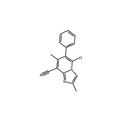 Cc1cn2c(Cl)c(-c3ccccc3)c(C)c(C#N)c2n1